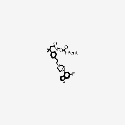 CCCCCC(=O)OCN1C(=O)CC(C)(C)c2ccc(CCN3CCN(c4cc(F)cc5sccc45)CC3)cc21